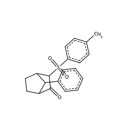 Cc1ccc(S(=O)(=O)C2C(=O)C3CCC2C3c2ccccc2)cc1